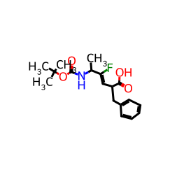 CC(NC(=O)OC(C)(C)C)C(F)=CC(Cc1ccccc1)C(=O)O